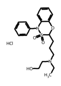 CCN(CCO)CCCC1Oc2ccccc2N(c2ccccc2)S1(=O)=O.Cl